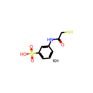 O=C(CS)Nc1cccc(S(=O)(=O)O)c1.[KH]